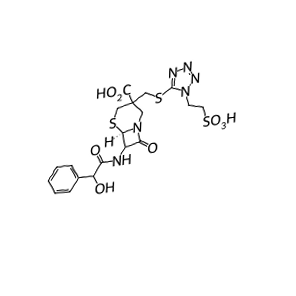 O=C(NC1C(=O)N2CC(CSc3nnnn3CCS(=O)(=O)O)(C(=O)O)CS[C@H]12)C(O)c1ccccc1